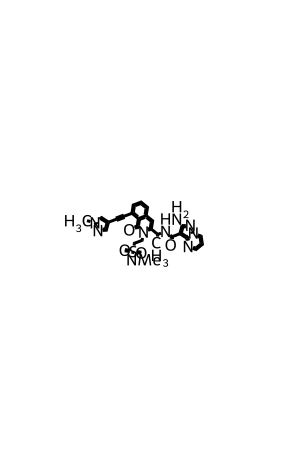 CNS(=O)(=O)CCn1c(C(C)NC(=O)c2c(N)nn3cccnc23)cc2cccc(C#Cc3cnn(C)c3)c2c1=O